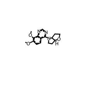 COc1ccc2c(N3CC[C@@H]4OCCC43)ncnc2c1OC